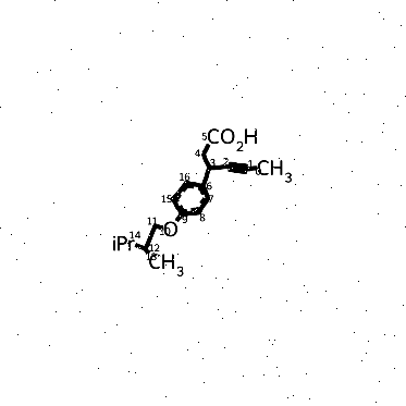 CC#CC(CC(=O)O)c1ccc(OCC(C)C(C)C)cc1